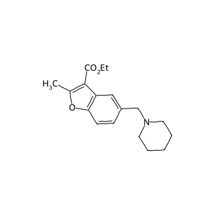 CCOC(=O)c1c(C)oc2ccc(CN3CCCCC3)cc12